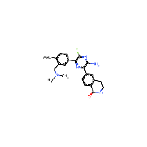 COc1ccc(-c2nc(-c3ccc4c(c3)CCNC4=O)c(N)nc2F)cc1CN(C)C